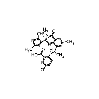 Cc1cc([C@@H](C)Nc2ccc(Cl)nc2C(=O)O)c2nc(-c3sc(C)nc3C)n(C)c(=O)c2c1